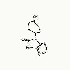 CN1CCC(C2C(=O)Nc3ncccc32)CC1